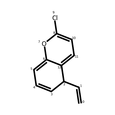 C=CC1C=CC=C2OC(Cl)=CC=C21